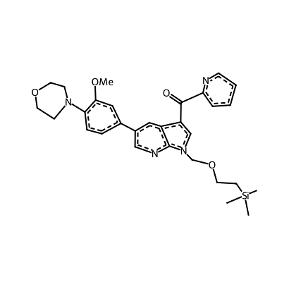 COc1cc(-c2cnc3c(c2)c(C(=O)c2ccccn2)cn3COCC[Si](C)(C)C)ccc1N1CCOCC1